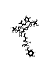 CC(C)[C@H](NC(=O)[C@H](CCCCNC(=O)OCc1ccccc1)NC(=O)OC(C)(C)C)C(=O)N1CCC[C@H]1C(=O)OC(C)(C)C